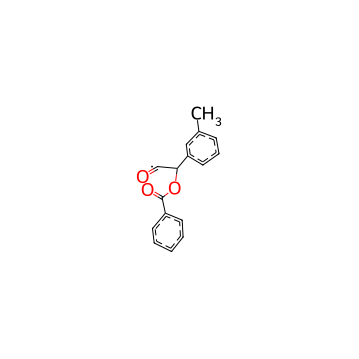 Cc1cccc(C([C]=O)OC(=O)c2ccccc2)c1